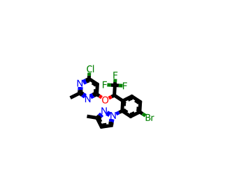 Cc1ccn(-c2cc(Br)ccc2C(Oc2cc(Cl)nc(C)n2)C(F)(F)F)n1